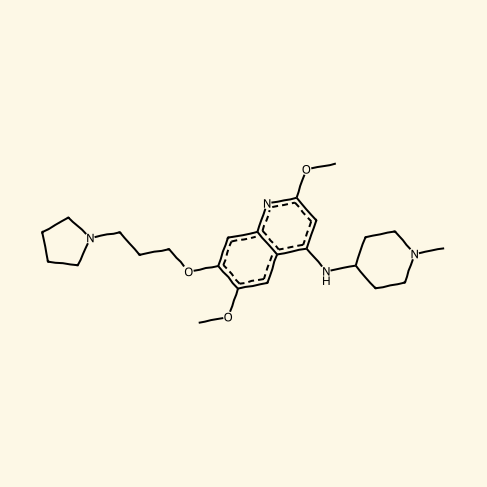 COc1cc(NC2CCN(C)CC2)c2cc(OC)c(OCCCN3CCCC3)cc2n1